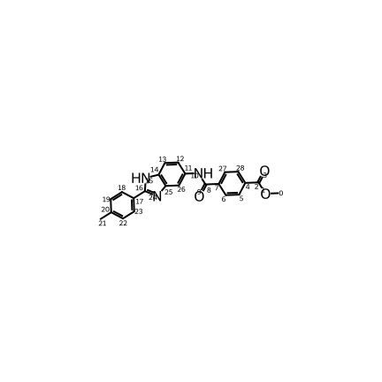 COC(=O)c1ccc(C(=O)Nc2ccc3[nH]c(-c4ccc(C)cc4)nc3c2)cc1